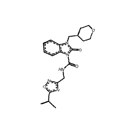 CC(C)c1nc(CNC(=O)n2c(=O)n(CC3CCOCC3)c3ccccc32)no1